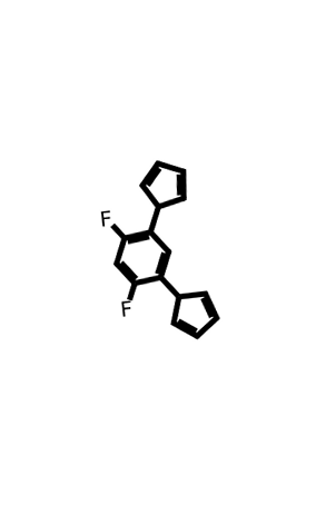 Fc1cc(F)c(C2C=CC=C2)cc1C1C=CC=C1